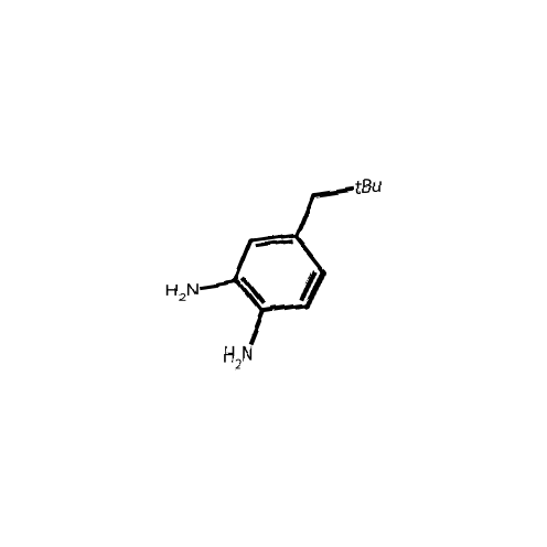 CC(C)(C)Cc1ccc(N)c(N)c1